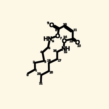 CCCCCCNOC(=O)/C=C\C(=O)ONCCCCCC